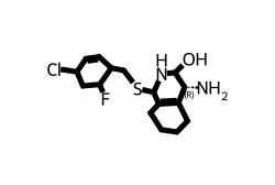 N[C@@H]1C2=C(CCCC2)C(SCC2C=CC(Cl)CC2F)NC1O